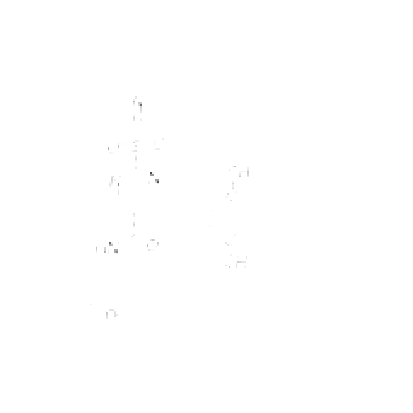 COc1ccc(-c2nc(S(=O)(=O)C#N)ncc2C(=O)NC2CCOCC2)cc1OC